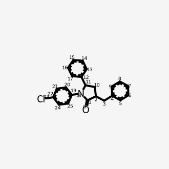 O=C1C(Cc2ccccc2)CC(c2ccccc2)N1c1ccc(Cl)cc1